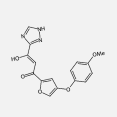 COc1ccc(Oc2coc(C(=O)C=C(O)c3nc[nH]n3)c2)cc1